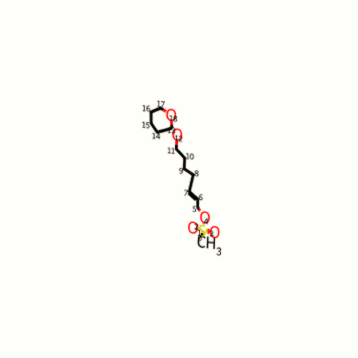 CS(=O)(=O)OCC=CCCCCOC1CCCCO1